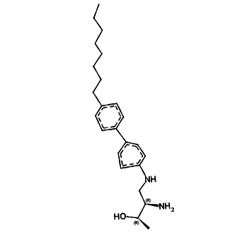 CCCCCCCCc1ccc(-c2ccc(NC[C@@H](N)[C@@H](C)O)cc2)cc1